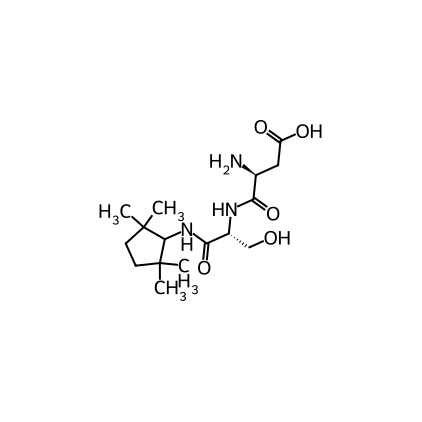 CC1(C)CCC(C)(C)C1NC(=O)[C@@H](CO)NC(=O)[C@@H](N)CC(=O)O